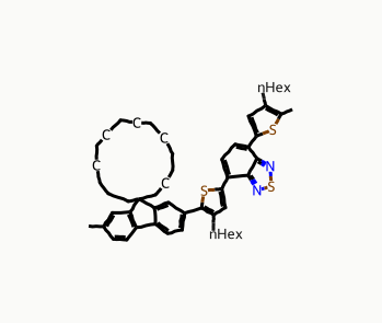 CCCCCCc1cc(-c2ccc(-c3cc(CCCCCC)c(-c4ccc5c(c4)C4(CCCCCCCCCCCCCC4)c4cc(C)ccc4-5)s3)c3nsnc23)sc1C